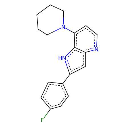 Fc1ccc(-c2cc3nccc(N4CCCCC4)c3[nH]2)cc1